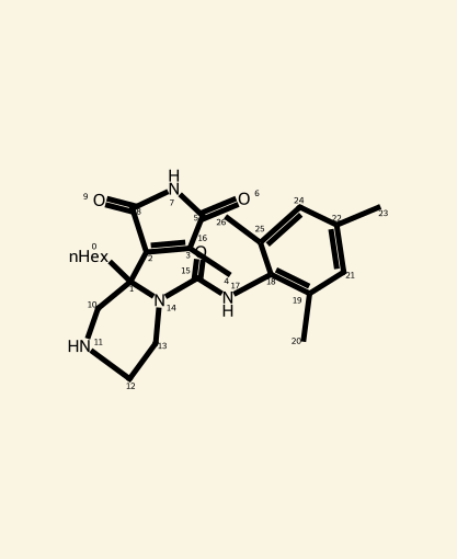 CCCCCCC1(C2=C(C)C(=O)NC2=O)CNCCN1C(=O)Nc1c(C)cc(C)cc1C